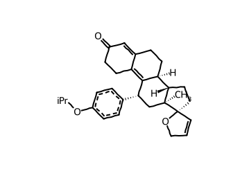 CC(C)Oc1ccc([C@H]2C[C@@]3(C)[C@@H](CC[C@@]34C=CCO4)[C@@H]3CCC4=CC(=O)CCC4=C32)cc1